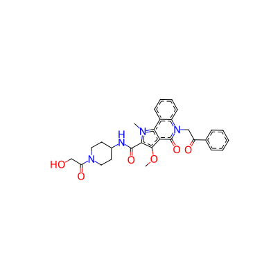 COc1c(C(=O)NC2CCN(C(=O)CO)CC2)n(C)c2c1c(=O)n(CC(=O)c1ccccc1)c1ccccc21